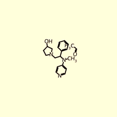 CC=O.CN(c1ccncc1)C(CN1CCC(O)C1)c1ccccc1